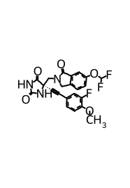 COc1ccc(C#C[C@]2(CN3Cc4ccc(OC(F)F)cc4C3=O)NC(=O)NC2=O)cc1F